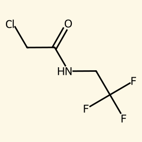 O=C(CCl)NCC(F)(F)F